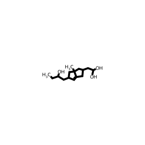 CCC(O)CC1C=C2CC(CC(O)O)CC2(C)C1